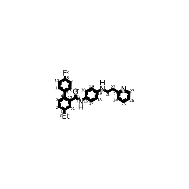 CCc1ccc(-c2ccc(F)cc2)c(C(=O)Nc2ccc(NCCc3ccccn3)cc2)c1